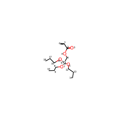 C=CC(=O)OC[Si](OCCC)(OCCC)OCCC